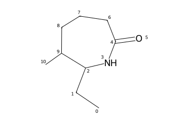 CCC1NC(=O)CCCC1C